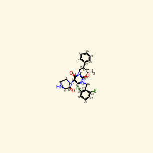 C[C@@H](Cn1c(=O)c(N2CCNCC2=O)cn(Cc2c(F)cccc2F)c1=O)c1ccccc1